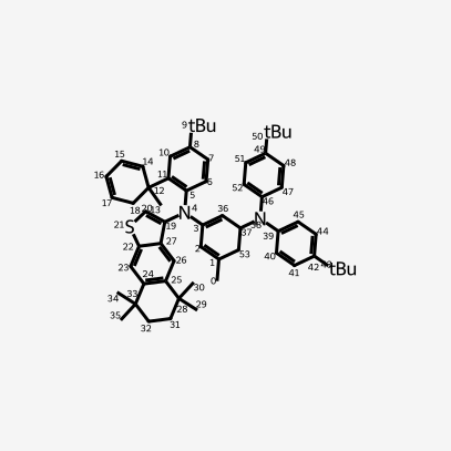 CC1=CC(N(c2ccc(C(C)(C)C)cc2C2(C)C=CC=CC2)c2csc3cc4c(cc23)C(C)(C)CCC4(C)C)=CC(N(c2ccc(C(C)(C)C)cc2)c2ccc(C(C)(C)C)cc2)C1